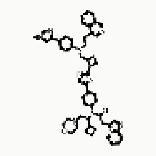 O=C(Cc1cnc2ccccn12)N(c1ccc(-c2c[nH]c(C3CCC3CN(CCc3cncc4ccccc34)c3ccc(-c4c[nH]cn4)cc3)n2)cc1)C(CN1CCOCC1)C1CCC1